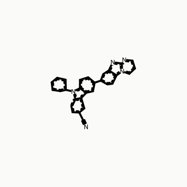 N#Cc1ccc2c(c1)c1cc(-c3ccc4c(c3)nc3ncccn34)ccc1n2-c1ccccc1